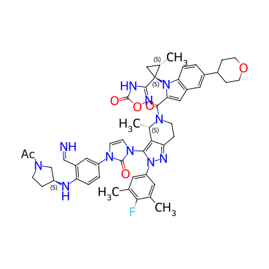 CC(=O)N1CC[C@H](Nc2ccc(-n3ccn(-c4c5c(nn4-c4cc(C)c(F)c(C)c4)CCN(C(=O)c4cc6cc(C7CCOCC7)ccc6n4[C@@]4(c6noc(=O)[nH]6)C[C@@H]4C)[C@H]5C)c3=O)cc2C=N)C1